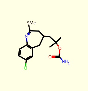 CSC1=Nc2ccc(Cl)cc2CC(CC(C)(C)OC(N)=O)C1